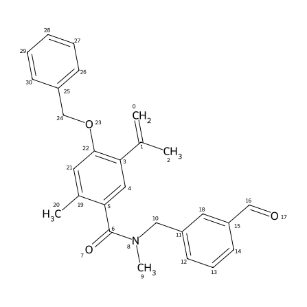 C=C(C)c1cc(C(=O)N(C)Cc2cccc(C=O)c2)c(C)cc1OCc1ccccc1